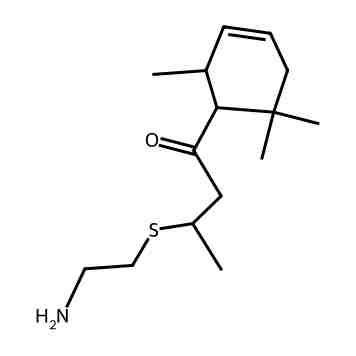 CC(CC(=O)C1C(C)C=CCC1(C)C)SCCN